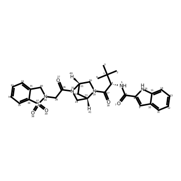 CC(C)(C)[C@H](NC(=O)c1cc2ccccc2[nH]1)C(=O)N1C[C@@H]2C[C@H]1CN2C(=O)CN1Cc2ccccc2S1(=O)=O